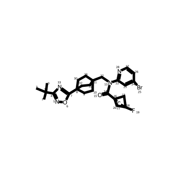 CC(C)(C)c1noc(C23CCC(CN(C(=O)C45CC(F)(C4)C5)c4cc(Br)ccn4)(CC2)CC3)n1